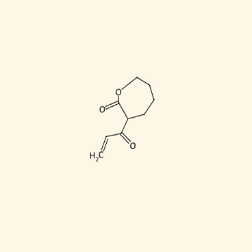 C=CC(=O)C1CCCCOC1=O